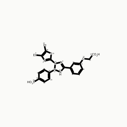 CCc1nc(N2N=C(c3cccc(OCC(=O)O)c3)NN2c2ccc(S(=O)(=O)O)cc2)sc1CC